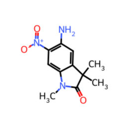 CN1C(=O)C(C)(C)c2cc(N)c([N+](=O)[O-])cc21